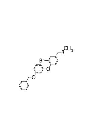 CSCc1ccc(Oc2cccc(OCc3ccccc3)c2)c(Br)c1